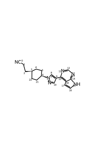 N#CCC[C@H]1CC[C@@H](n2cc(-c3ncnc4[nH]ccc34)cn2)CC1